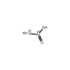 O=[AsH](O)O.[KH]